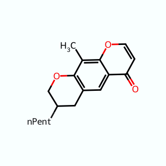 CCCCCC1COc2c(cc3c(=O)ccoc3c2C)C1